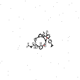 CCn1c(-c2cc(N3CCN(C4CC4)CC3)cnc2[C@H](C)OC)c2c3cc(ccc31)C1CSC(=N1)C[C@H](NC(=O)[C@@H]1C[C@H]1C(F)F)C(=O)N1CCC[C@](C=O)(COCC(C)(C)C2)N1